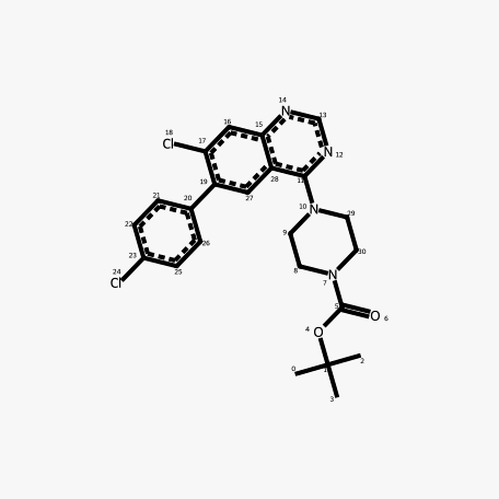 CC(C)(C)OC(=O)N1CCN(c2ncnc3cc(Cl)c(-c4ccc(Cl)cc4)cc23)CC1